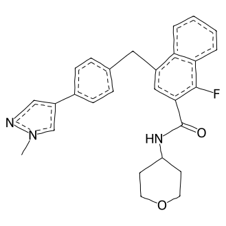 Cn1cc(-c2ccc(Cc3cc(C(=O)NC4CCOCC4)c(F)c4ccccc34)cc2)cn1